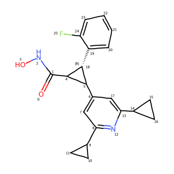 O=C(NO)C1C(c2cc(C3CC3)nc(C3CC3)c2)[C@H]1c1ccccc1F